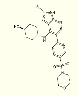 CCC(C)c1cc2c(N[C@H]3CC[C@H](O)CC3)c(-c3ccc(S(=O)(=O)N4CCOCC4)cn3)cnc2[nH]1